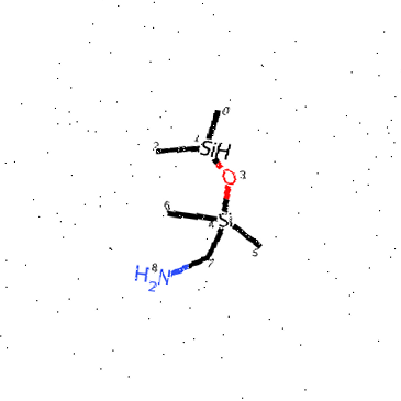 C[SiH](C)O[Si](C)(C)CN